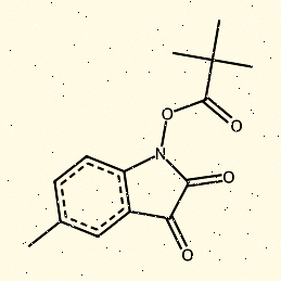 Cc1ccc2c(c1)C(=O)C(=O)N2OC(=O)C(C)(C)C